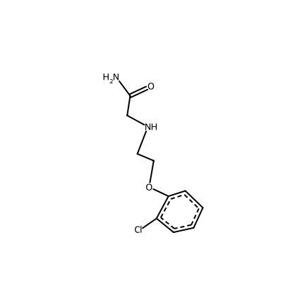 NC(=O)CNCCOc1ccccc1Cl